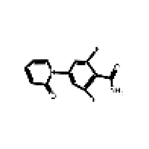 NC(=O)c1c(F)cc(-n2ccccc2=O)cc1F